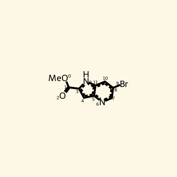 COC(=O)c1cc2ncc(Br)cc2[nH]1